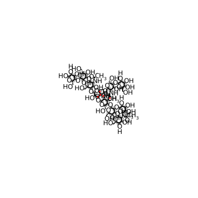 CC(=O)N[C@H]1[C@H](OC[C@H]2O[C@@H](O[C@H]3[C@H](O)[C@@H](NC(C)=O)[C@H](O[C@H]4[C@@H](O)[C@@H](CO)O[C@@H](O[C@H]5[C@H](O)[C@@H](O)[C@H](O)O[C@@H]5CO)[C@@H]4O)O[C@@H]3CO)[C@H](O)[C@@H](O[C@@H]3O[C@H](CO)[C@@H](O[C@@H]4O[C@H](CO)[C@H](O)[C@H](O[C@H]5O[C@H](CO)[C@H](O)[C@H](O)[C@H]5NC(C)=O)[C@H]4O[C@@H]4O[C@@H](C)[C@@H](O)[C@@H](O)[C@@H]4O)[C@H](O)[C@H]3NC(C)=O)[C@H]2O)O[C@H](CO)[C@@H](O[C@@H]2O[C@H](CO)[C@H](O)[C@H](O)[C@H]2O)[C@@H]1O